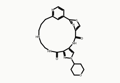 O=C1Nc2cn(C3CCOCC3)nc2C(=O)NCCNCCCc2cc(ccn2)-c2nc1cs2